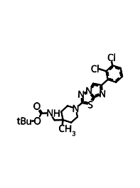 CC1(CNC(=O)OC(C)(C)C)CCN(c2nn3cc(-c4cccc(Cl)c4Cl)nc3s2)CC1